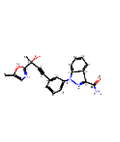 Cc1cnc([C@](C)(O)C#Cc2cccc(-n3nc(C(N)=O)c4ccccc43)c2)o1